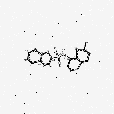 Cc1ccc2cccc(NS(=O)(=O)c3ccc4ccccc4c3)c2c1